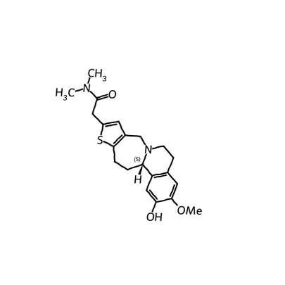 COc1cc2c(cc1O)[C@@H]1CCc3sc(CC(=O)N(C)C)cc3CN1CC2